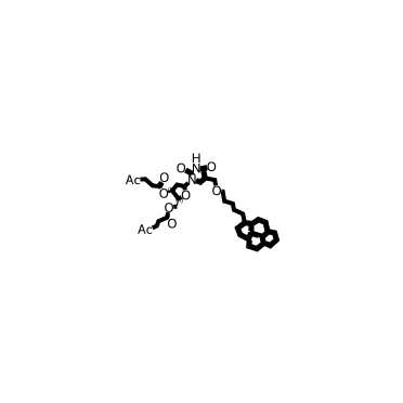 CC(=O)CCC(=O)OC[C@H]1OC(n2cc(COCCCCCc3ccc4ccc5cccc6ccc3c4c56)c(=O)[nH]c2=O)C[C@@H]1OC(=O)CCC(C)=O